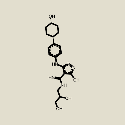 N=C(NCC(O)CO)c1c(O)nsc1Nc1ccc([C@H]2CC[C@H](O)CC2)cc1